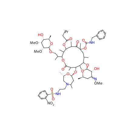 CON=C1C[C@@H](C)O[C@@H](OC2C(C)CC(C)(OC(=O)NCc3ccccc3)C(=O)C(C)C(OC(=O)CC(C)C)C(C)C(C(C)CO[C@@H]3O[C@H](C)[C@@H](O)[C@@H](OC)[C@H]3OC)OC(=O)C(C)C(O[C@H]3CC(C)N(CCNS(=O)(=O)c4ccccc4[N+](=O)[O-])C[C@H](C)O3)C2C)[C@@H]1O